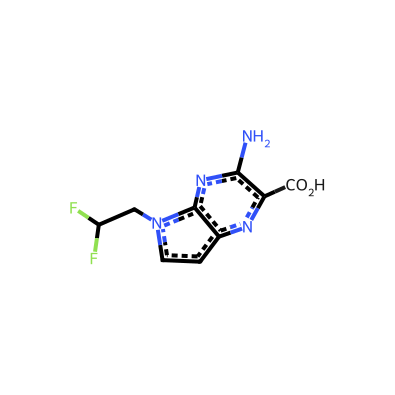 Nc1nc2c(ccn2CC(F)F)nc1C(=O)O